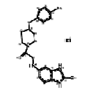 Cl.O=C(CNc1ccc2[nH]c(=O)[nH]c2c1)N1CCC(Cc2ccc(F)cc2)CC1